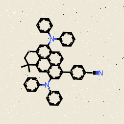 CC1(C)CCc2cc(N(c3ccccc3)c3ccccc3)c3ccc4c(-c5ccc(C#N)cc5)cc(N(c5ccccc5)c5ccccc5)c5cc1c2c3c45